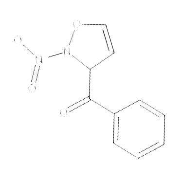 O=C(c1ccccc1)C1C=CON1[N+](=O)[O-]